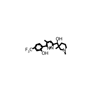 Cc1cc([C@@H](O)C2(C)CCCN(C)C2)nnc1-c1ccc(C(F)(F)F)cc1O